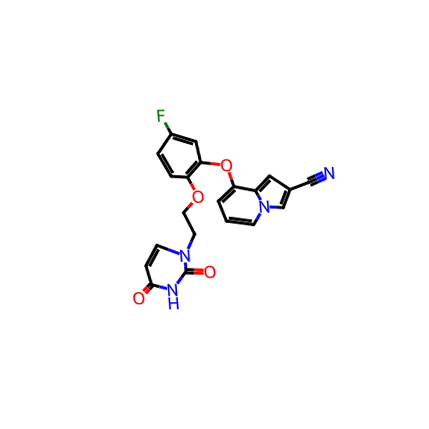 N#Cc1cc2c(Oc3cc(F)ccc3OCCn3ccc(=O)[nH]c3=O)cccn2c1